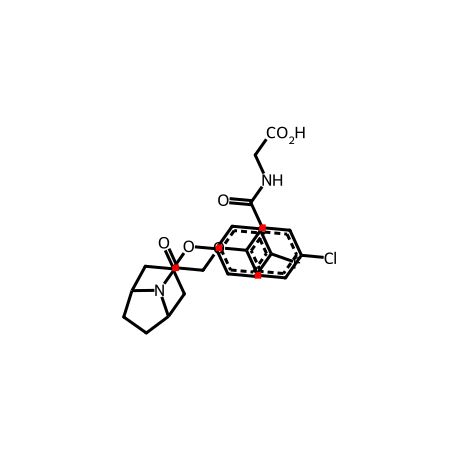 O=C(O)CNC(=O)c1cc(Cl)ccc1OCC(=O)N1C2CCC1CC(Oc1ccc(F)cc1)C2